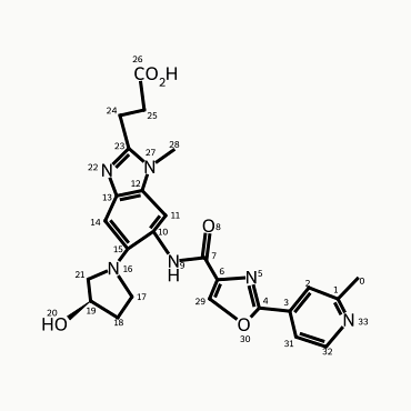 Cc1cc(-c2nc(C(=O)Nc3cc4c(cc3N3CC[C@@H](O)C3)nc(CCC(=O)O)n4C)co2)ccn1